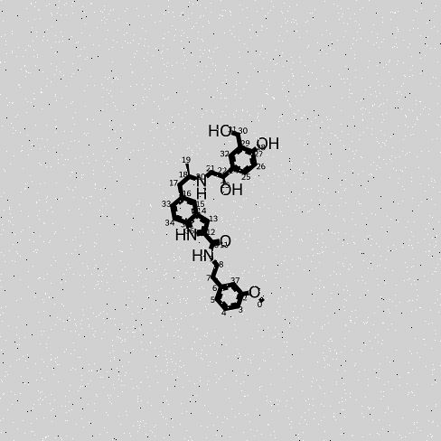 COc1cccc(CCNC(=O)c2cc3cc(C[C@@H](C)NC[C@H](O)c4ccc(O)c(CO)c4)ccc3[nH]2)c1